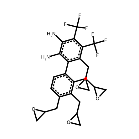 Nc1c(N)c(C(F)(F)F)c(C(F)(F)F)c(CC2CO2)c1-c1ccc(CC2CO2)c(CC2CO2)c1CC1CO1